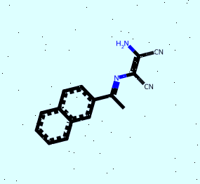 CC(=N/C(C#N)=C(\N)C#N)c1ccc2ccccc2c1